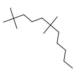 [CH2]C(C)(C)CCCC(C)(C)CCCCC